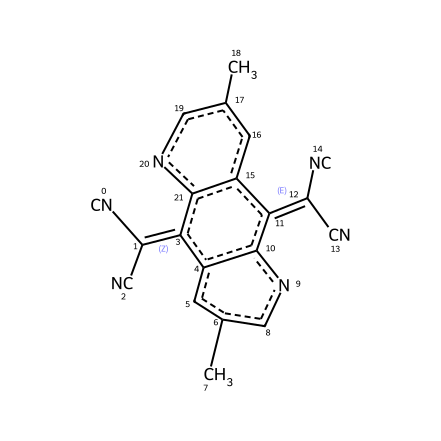 [C-]#[N+]/C(C#N)=c1/c2cc(C)cnc2/c(=C(\C#N)[N+]#[C-])c2cc(C)cnc12